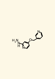 NNc1cc(OCc2cccnc2)ccn1